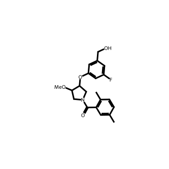 COC1CN(C(=O)c2cc(C)ccc2C)CC1Oc1cc(F)cc(CO)c1